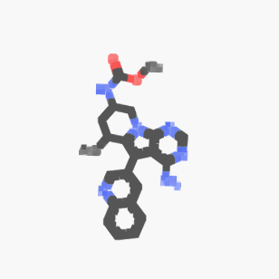 CC(=O)OC1CC(NC(=O)OC(C)(C)C)Cn2c1c(-c1cnc3ccccc3c1)c1c(N)ncnc12